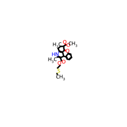 CCSCCOC(=O)C1=C(C)NC2=C(C(=O)C(C(=O)OC)C(C)C2)C1c1ccccc1